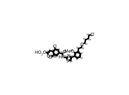 CO/C(=C\c1c(Cl)cc(C(=O)Nc2nc(-c3cccc(CCOCCCCCl)c3OC)cs2)cc1Cl)C(=O)O